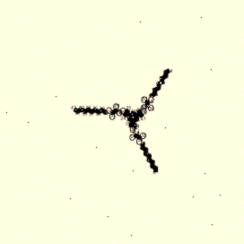 CCCCCCCCCCOC(=O)C(=O)OOC(C)(C)c1cc(C(C)(C)OOC(=O)C(=O)OCCCCCCCCCC)cc(C(C)(C)OOC(=O)C(=O)OCCCCCCCCCC)c1